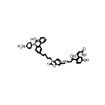 N[C@H]1CC[C@H](N(C(=O)O)c2ccc(CCCCn3c(=O)oc4cc(CNC[C@H](O)c5ccc(O)c6[nH]c(=O)ccc56)ccc43)cc2-c2ccccc2)CC1